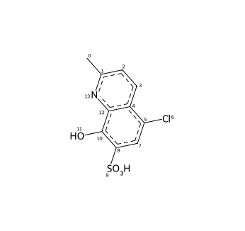 Cc1ccc2c(Cl)cc(S(=O)(=O)O)c(O)c2n1